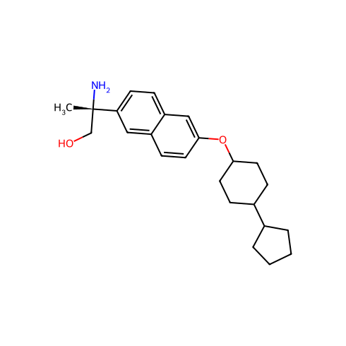 C[C@](N)(CO)c1ccc2cc(OC3CCC(C4CCCC4)CC3)ccc2c1